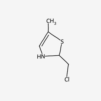 CC1=CNC(CCl)S1